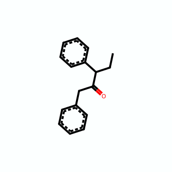 CCC(C(=O)Cc1ccccc1)c1ccccc1